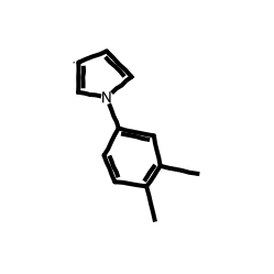 Cc1ccc(-n2c[c]cc2)cc1C